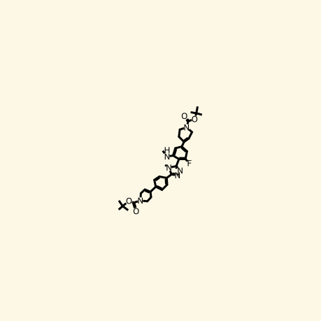 CNc1cc(C2=CCN(C(=O)OC(C)(C)C)CC2)cc(F)c1-c1nnc(-c2ccc(C3=CCN(C(=O)OC(C)(C)C)CC3)cc2)n1C